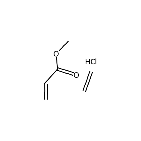 C=C.C=CC(=O)OC.Cl